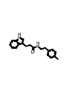 Cc1ccc(CCNC(=O)CCc2c[nH]c3ccccc23)cc1